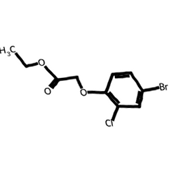 CCOC(=O)COc1ccc(Br)cc1Cl